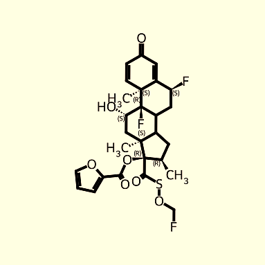 C[C@@H]1CC2C3C[C@H](F)C4=CC(=O)C=C[C@]4(C)[C@@]3(F)[C@@H](O)C[C@]2(C)[C@@]1(OC(=O)c1ccco1)C(=O)SOCF